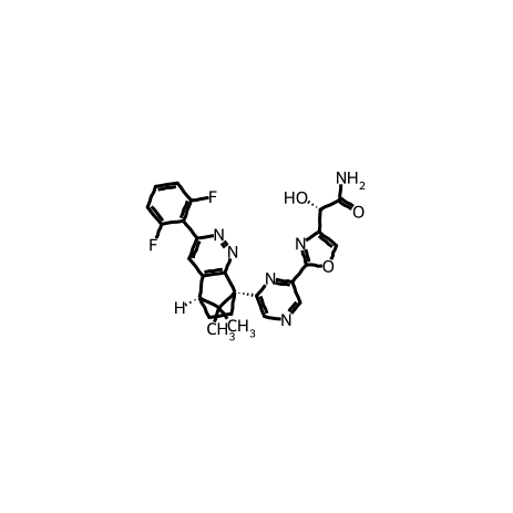 CC1(C)[C@H]2CC[C@]1(c1cncc(-c3nc([C@H](O)C(N)=O)co3)n1)c1nnc(-c3c(F)cccc3F)cc12